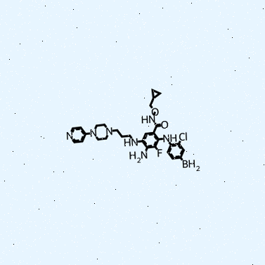 Bc1ccc(Nc2c(C(=O)NOCC3CC3)cc(NCCCN3CCN(c4ccncc4)CC3)c(N)c2F)c(Cl)c1